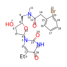 CCc1cn([C@H]2C[C@H](O)[C@@H](CN(C)C(=O)Cc3ccccc3Br)O2)c(=O)[nH]c1=O